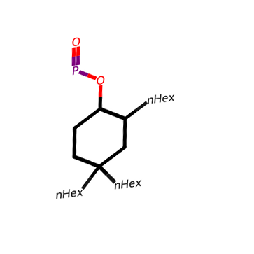 CCCCCCC1CC(CCCCCC)(CCCCCC)CCC1OP=O